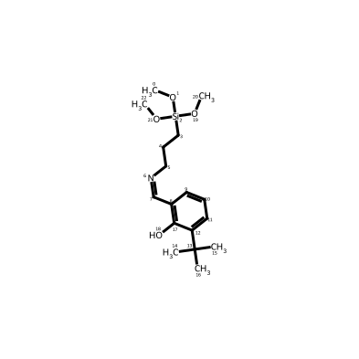 CO[Si](CCC/N=C\c1cccc(C(C)(C)C)c1O)(OC)OC